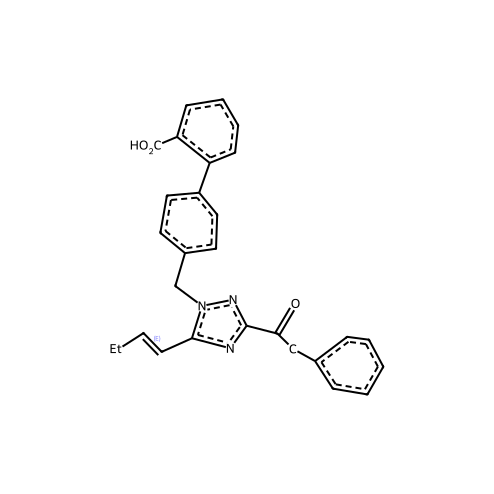 CC/C=C/c1nc(C(=O)Cc2ccccc2)nn1Cc1ccc(-c2ccccc2C(=O)O)cc1